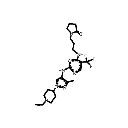 CCN1CCC(n2cc(Nc3ncc(C(F)(F)F)c(NCCCN4CCCC4=O)n3)c(C)n2)CC1